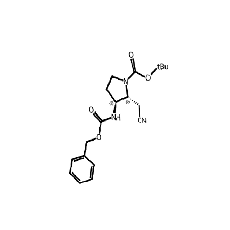 CC(C)(C)OC(=O)N1CC[C@H](NC(=O)OCc2ccccc2)[C@H]1CC#N